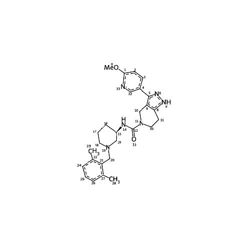 COc1ccc(-c2n[nH]c3c2CN(C(=O)N[C@@H]2CCCN(Cc4c(C)cccc4C)C2)CC3)cn1